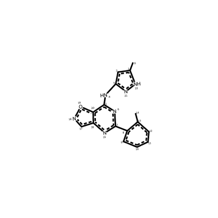 Cc1cc(Nc2nc(-c3ccccc3C)nc3cnoc23)n[nH]1